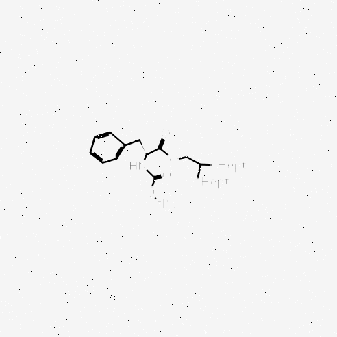 CCCCCCCC(CCCCCCC)COC(=O)[C@H](Cc1ccccc1)NC(=O)OC(C)(C)C